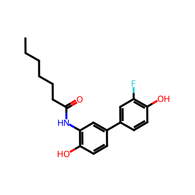 CCCCCCC(=O)Nc1cc(-c2ccc(O)c(F)c2)ccc1O